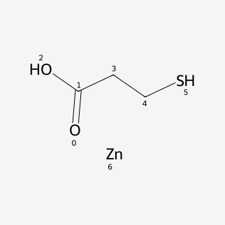 O=C(O)CCS.[Zn]